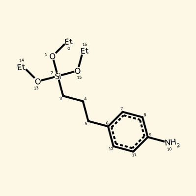 CCO[Si](CCCc1ccc(N)cc1)(OCC)OCC